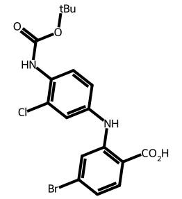 CC(C)(C)OC(=O)Nc1ccc(Nc2cc(Br)ccc2C(=O)O)cc1Cl